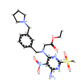 CCOC(=O)CN(Cc1cccc(CN2CCCC2)c1)c1nc(S(C)(=O)=O)nc(N)c1[N+](=O)[O-]